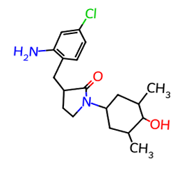 CC1CC(N2CCC(Cc3ccc(Cl)cc3N)C2=O)CC(C)C1O